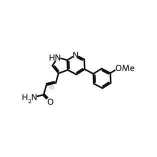 COc1cccc(-c2cnc3[nH]cc(/C=C/C(N)=O)c3c2)c1